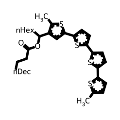 CCCCCCCCCCCCC(=O)OC(CCCCCC)c1cc(-c2ccc(-c3ccc(-c4ccc(C)s4)s3)s2)sc1C